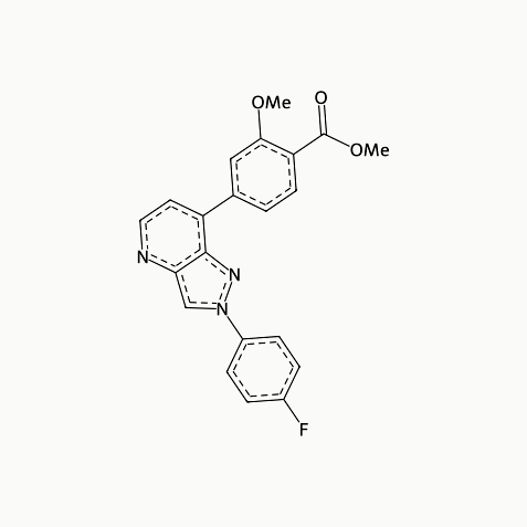 COC(=O)c1ccc(-c2ccnc3cn(-c4ccc(F)cc4)nc23)cc1OC